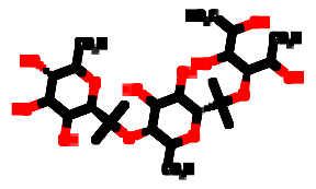 CC(C)(O[C@@H]1C(C(=O)O)O[C@@H](C(C)(C)O[C@H](C(O)C(=O)O)C(O)C(O)C(=O)O)C(O)C1O)[C@@H]1OC(C(=O)O)[C@@H](O)C(O)C1O